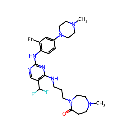 CCc1cc(N2CCN(C)CC2)ccc1Nc1ncc(C(F)F)c(NCCCN2CCN(C)CCC2=O)n1